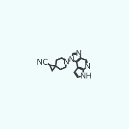 N#CC1CC12CCN(n1cnc3cnc4[nH]ccc4c31)CC2